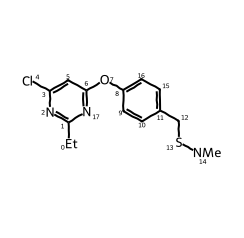 CCc1nc(Cl)cc(Oc2ccc(CSNC)cc2)n1